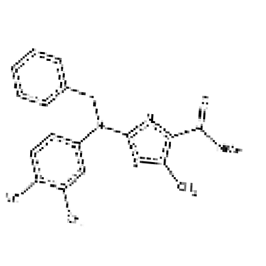 CNC(=O)c1nc(N(Cc2ccccc2)c2ccc(C#N)c(C(F)(F)F)c2)sc1C